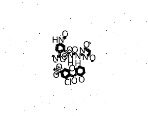 COc1cc(OC)nc(NC(=O)NS(=O)(=O)c2cc(NC=O)ccc2C(=O)N(C)C)n1.CS(=O)(=O)c1ccc(C(=O)C2C(=O)CCCC2=O)c(Cl)c1